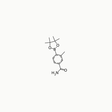 Cc1cc(C(N)=O)ccc1B1OC(C)(C)C(C)(C)O1